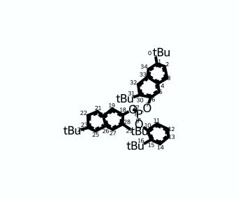 CC(C)(C)c1ccc2cc(OP(Oc3ccccc3C(C)(C)C)Oc3cc4ccc(C(C)(C)C)cc4cc3C(C)(C)C)c(C(C)(C)C)cc2c1